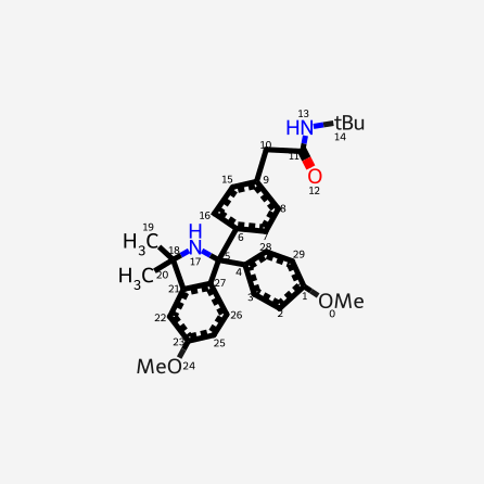 COc1ccc(C2(c3ccc(CC(=O)NC(C)(C)C)cc3)NC(C)(C)c3cc(OC)ccc32)cc1